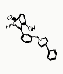 O=c1[nH]cc(-c2cccc(CN3CC=C(c4ccccc4)CC3)c2)c2c(O)cccc12